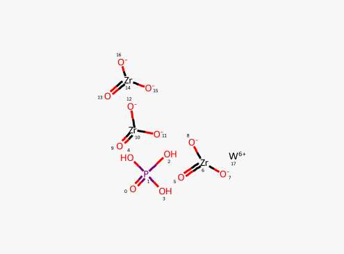 O=P(O)(O)O.[O]=[Zr]([O-])[O-].[O]=[Zr]([O-])[O-].[O]=[Zr]([O-])[O-].[W+6]